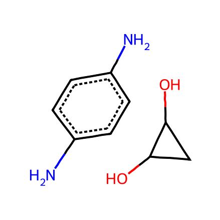 Nc1ccc(N)cc1.OC1CC1O